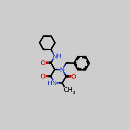 CC1NC(=O)C(C(=O)NC2CCCCC2)N(Cc2ccccc2)C1=O